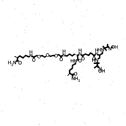 C/C(=N\O)C(C)(C)NCC(CNC(C)(C)/C(C)=N/O)NC(=O)CCCC(=O)N[C@@H](CCCCNC(=O)COCCOCCOCC(=O)NCCCC[C@H](C)C(N)=O)C(=O)NCCCC[C@H](C)C(N)=O